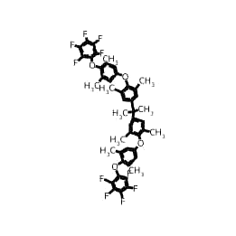 Cc1cc(C(C)(C)c2cc(C)c(Oc3cc(C)c(Oc4c(F)c(F)c(F)c(F)c4F)c(C)c3)c(C)c2)cc(C)c1Oc1cc(C)c(Oc2c(F)c(F)c(F)c(F)c2F)c(C)c1